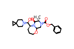 C[C@H]1C(=O)N2C(CN1C(=O)OCc1ccccc1)OCCC[C@H]2[C@H](O)N1CCC2(CC1)CC2